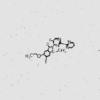 CCOc1cc2c(cc1F)[C@@H](CC)N(c1nc(-c3ncccn3)ncc1F)C2=O